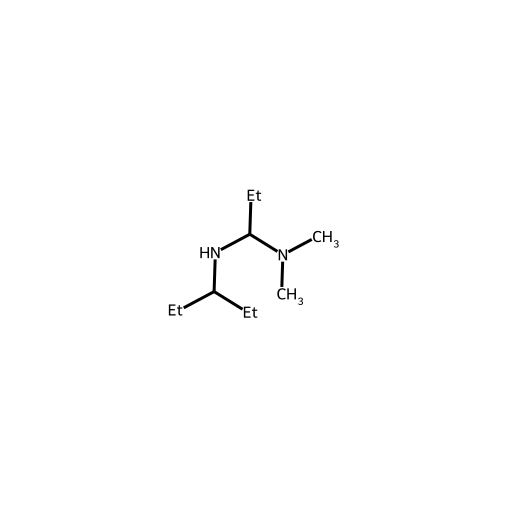 CCC(CC)NC(CC)N(C)C